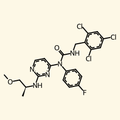 COC[C@H](C)Nc1nccc(N(C(=O)NCc2c(Cl)cc(Cl)cc2Cl)c2ccc(F)cc2)n1